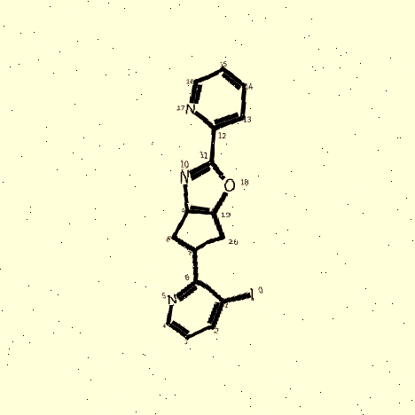 Ic1cccnc1C1Cc2nc(-c3ccccn3)oc2C1